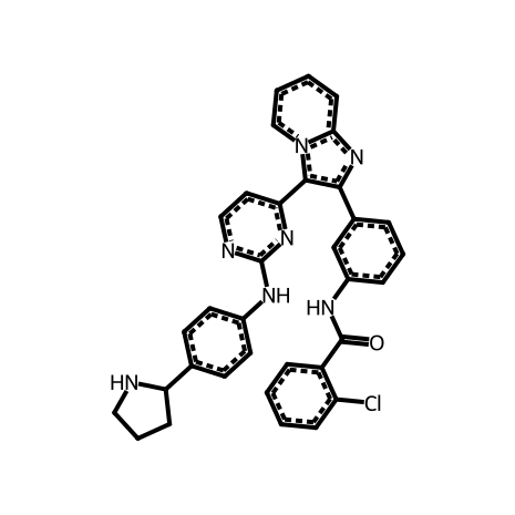 O=C(Nc1cccc(-c2nc3ccccn3c2-c2ccnc(Nc3ccc(C4CCCN4)cc3)n2)c1)c1ccccc1Cl